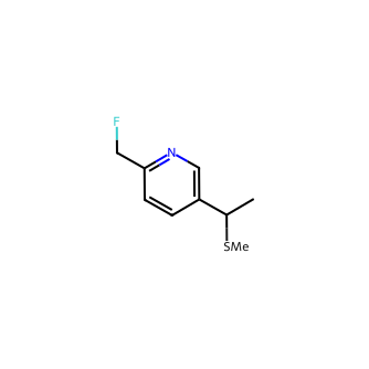 CSC(C)c1ccc(CF)nc1